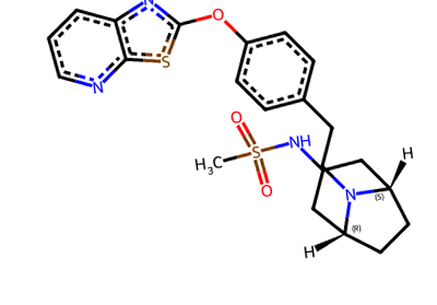 CS(=O)(=O)NC1C[C@H]2CC[C@@H](C1)N2CCc1ccc(Oc2nc3cccnc3s2)cc1